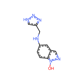 On1ncc2cc(NCc3c[nH]nn3)ccc21